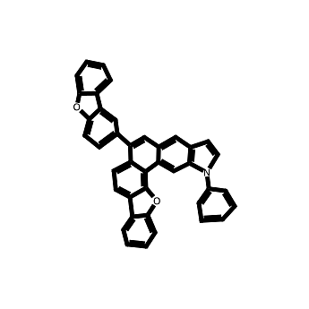 c1ccc(-n2ccc3cc4cc(-c5ccc6oc7ccccc7c6c5)c5ccc6c7ccccc7oc6c5c4cc32)cc1